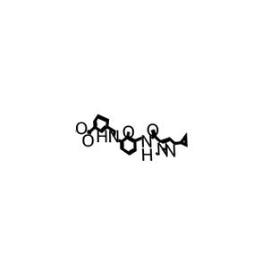 COC(=O)c1cccc(CNc2cccc(CNC(=O)c3cc(C4CC4)nn3C)c2OC)c1